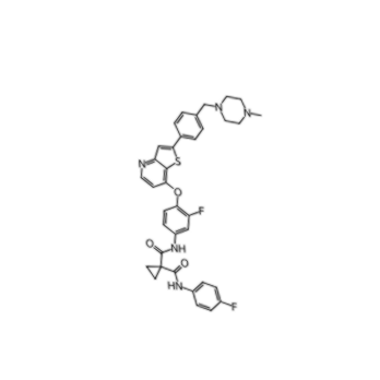 CN1CCN(Cc2ccc(-c3cc4nccc(Oc5ccc(NC(=O)C6(C(=O)Nc7ccc(F)cc7)CC6)cc5F)c4s3)cc2)CC1